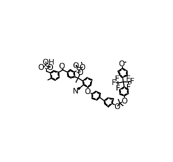 COc1ccc(C(c2ccc(OC(C)(C)Oc3ccc(-c4ccc(Oc5cccc(C(C)(C)c6ccc(C(=O)c7ccc(C)c(CS(=O)(=O)O)c7)cc6S(=O)(=O)OC)c5C#N)cc4)cc3)cc2)(C(F)(F)F)C(F)(F)F)cc1